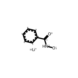 O=C(N[O-])c1ccccc1.[Li+]